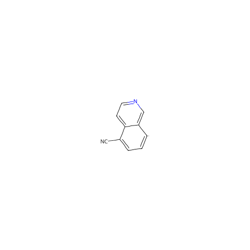 N#Cc1cc[c]c2cnccc12